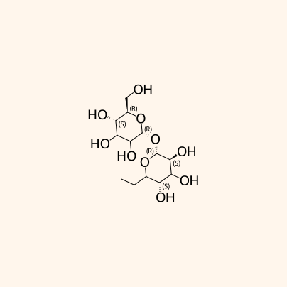 CCC1O[C@H](O[C@H]2O[C@H](CO)[C@@H](O)C(O)C2O)[C@@H](O)C(O)[C@@H]1O